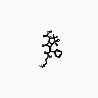 CC1(C)[C@H](C(=O)O)N2C(=O)/C(=C(\C(=O)NCCN)c3ccccn3)C2S1(=O)=O